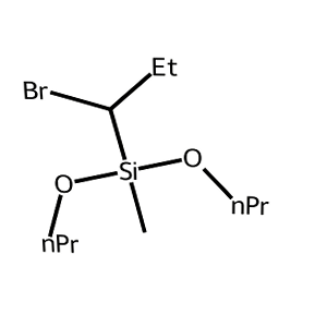 CCCO[Si](C)(OCCC)C(Br)CC